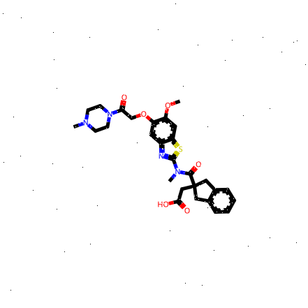 COc1cc2sc(N(C)C(=O)C3(CC(=O)O)Cc4ccccc4C3)nc2cc1OCC(=O)N1CCN(C)CC1